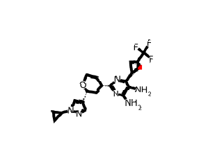 Nc1nc([C@H]2CCO[C@@H](c3cnn(C4CC4)c3)C2)nc(C23CC(C(F)(F)F)(C2)C3)c1N